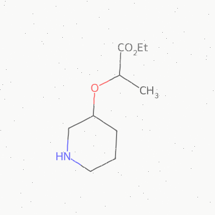 CCOC(=O)C(C)OC1CCCNC1